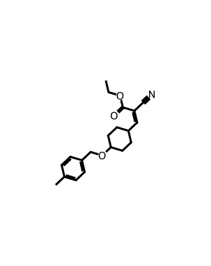 CCOC(=O)/C(C#N)=C\C1CCC(OCc2ccc(C)cc2)CC1